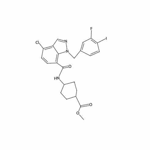 COC(=O)C1CCC(NC(=O)c2ccc(Cl)c3cnn(Cc4ccc(I)c(F)c4)c23)CC1